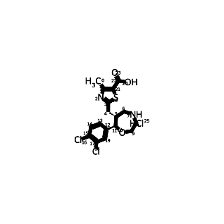 Cc1nc(C[C@@H]2CNCCO[C@H]2c2ccc(Cl)c(Cl)c2)sc1C(=O)O.Cl